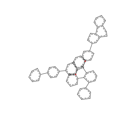 c1ccc(-c2ccc(-c3ccc(N(c4ccc(-c5ccc6c(ccc7ccccc76)c5)cc4)c4cccc(-c5ccccc5)c4-c4ccccc4-c4ccccc4)cc3)cc2)cc1